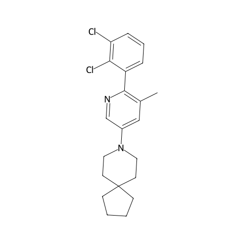 Cc1cc(N2CCC3(CCCC3)CC2)cnc1-c1cccc(Cl)c1Cl